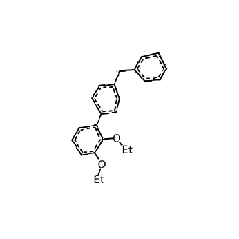 CCOc1cccc(-c2ccc([CH]c3ccccc3)cc2)c1OCC